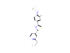 Cc1cc(-c2csc(-c3ccnc(CC(C)C)c3)n2)ccc1NSC(F)(F)F